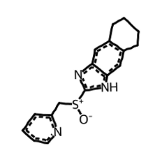 [O-][S+](Cc1ccccn1)c1nc2cc3c(cc2[nH]1)CCCC3